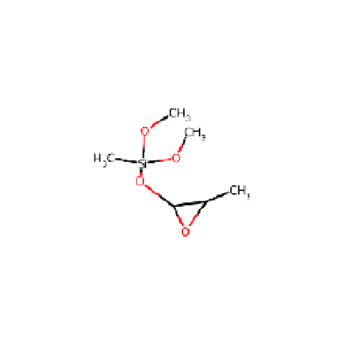 CO[Si](C)(OC)OC1OC1C